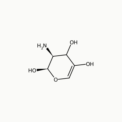 N[C@H]1C(O)C(O)=CO[C@H]1O